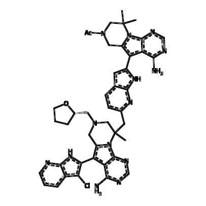 CC(=O)N1Cc2c(-c3cc4ccc(CC5(C)CN(C[C@@H]6CCCO6)Cc6c(-c7[nH]c8ncccc8c7Cl)c7c(N)ncnc7n65)nc4[nH]3)c3c(N)ncnc3n2C(C)(C)C1